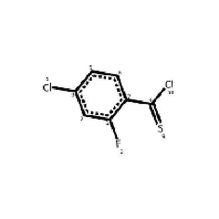 Fc1cc(Cl)ccc1C(=S)Cl